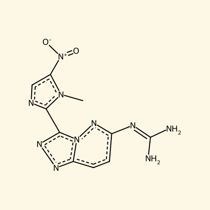 Cn1c([N+](=O)[O-])cnc1-c1nnc2ccc(N=C(N)N)nn12